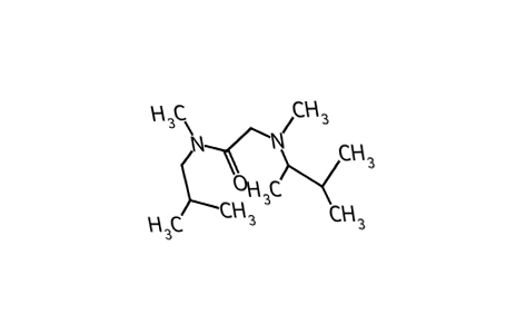 CC(C)CN(C)C(=O)CN(C)C(C)C(C)C